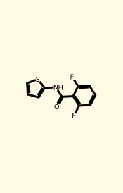 O=C(Nc1cccs1)c1c(F)cccc1F